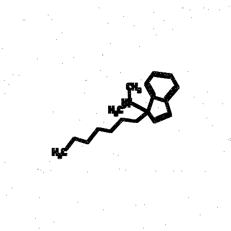 CCCCCCC[C]1([Hf]([CH3])[CH3])C=Cc2ccccc21